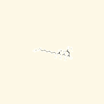 CC1=CC(=O)NC(NC(=O)NCCCCCCN=C=O)N1